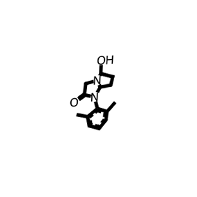 Cc1cccc(C)c1N1C(=O)CN2C(O)CCC12